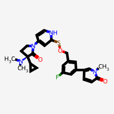 CN(C)[C@@]1(C2CC2)CCN(C2=CC(SOCc3cc(F)cc(-c4ccc(=O)n(C)c4)c3)NC=C2)C1=O